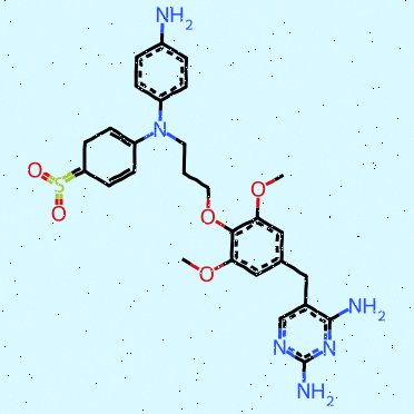 COc1cc(Cc2cnc(N)nc2N)cc(OC)c1OCCCN(C1=CCC(=S(=O)=O)C=C1)c1ccc(N)cc1